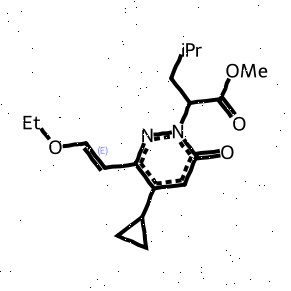 CCO/C=C/c1nn(C(CC(C)C)C(=O)OC)c(=O)cc1C1CC1